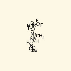 Cc1cc(-c2ccc(NS(=O)(=O)Cc3ccc(F)cc3F)c(F)c2)nc2cnc(N[C@H]3C[C@H](F)CN(C(=O)OC(C)(C)C)C3)nc12